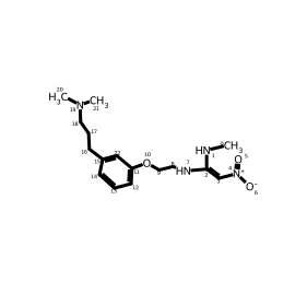 CNC(=C[N+](=O)[O-])NCCOc1cccc(CCCN(C)C)c1